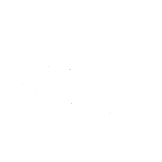 CC1(C)C2=CC3=C4C(=CC(Br)=CC4(O)c4cccc5ccccc45)C=C3C(O)(c3cccc4ccccc34)C2=Cc2ccccc21